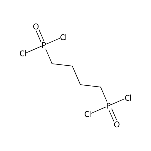 O=P(Cl)(Cl)CCCCP(=O)(Cl)Cl